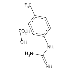 N=C(N)Nc1ccc(C(F)(F)F)cc1.O=C(O)O